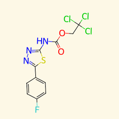 O=C(Nc1nnc(-c2ccc(F)cc2)s1)OCC(Cl)(Cl)Cl